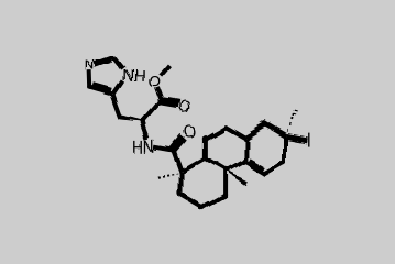 COC(=O)[C@H](Cc1cnc[nH]1)NC(=O)[C@]1(C)CCC[C@@]2(C)C3=CC[C@](C)(I)CC3CCC12